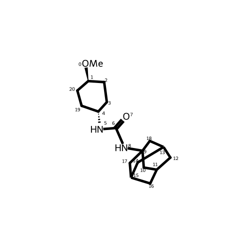 CO[C@H]1CC[C@H](NC(=O)NC23CC4CC(CC(C4)C2)C3)CC1